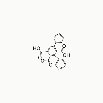 O=C(O)c1cc(-c2ccccc2)c(C(=O)O)c(-c2ccccc2)c1I(=O)=O